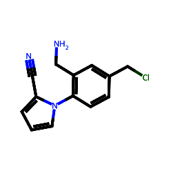 N#Cc1cccn1-c1ccc(CCl)cc1CN